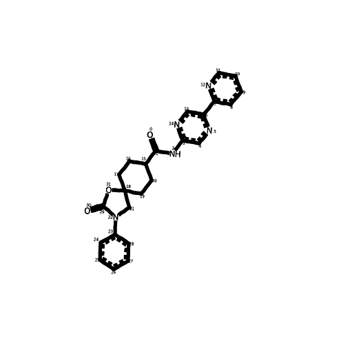 O=C(Nc1cnc(-c2ccccn2)cn1)C1CCC2(CC1)CN(c1ccccc1)C(=O)O2